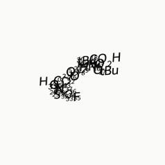 Cc1cc(C(=O)Oc2ccc(C[C@H](NC(=O)OC(C)(C)C)C(=O)O)c(C(C)(C)C)c2)ccc1N1C(=O)CSC1c1ccc(F)cc1